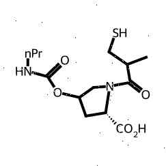 CCCNC(=O)OC1C[C@@H](C(=O)O)N(C(=O)C(C)CS)C1